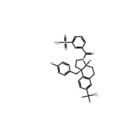 CC(F)(c1ccc2c(c1)CC[C@H]1N(C(=O)c3cccc(S(N)(=O)=O)c3)CC[C@@]21Cc1ccc(F)cc1)C(F)(F)F